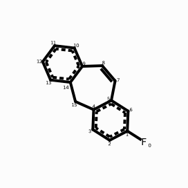 Fc1ccc2c(c1)C=Cc1ccccc1C2